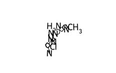 Cc1ccc2c(n1)CC1(CCN(c3nccn4c(-c5cccc(C#N)c5Cl)ncc34)CC1)C2N